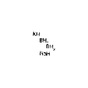 B.B.[KH].[NaH]